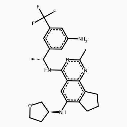 Cc1nc(N[C@H](C)c2cc(N)cc(C(F)(F)F)c2)c2cc(N[C@H]3CCOC3)c3c(c2n1)CCC3